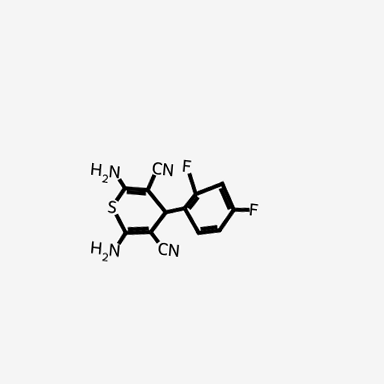 N#CC1=C(N)SC(N)=C(C#N)C1c1ccc(F)cc1F